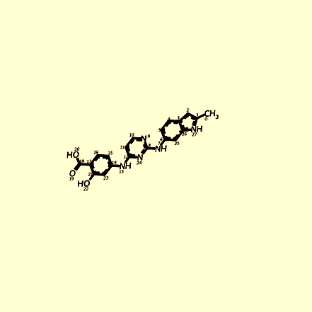 Cc1cc2ccc(Nc3nccc(Nc4ccc(C(=O)O)c(O)c4)n3)cc2[nH]1